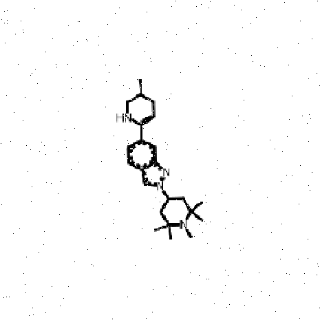 C[C@H]1CC=C(c2ccc3cn(C4CC(C)(C)N(C)C(C)(C)C4)nc3c2)NC1